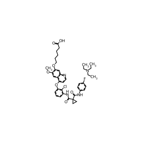 CCN(CC)CC.COc1cc2c(Oc3cccc(NC(=O)C4(C(=O)Nc5ccc(F)cc5)CC4)c3Cl)ccnc2cc1OCCCCCC(=O)O